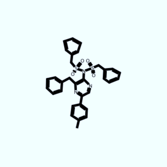 Cc1ccc(-c2cnc(N(S(=O)(=O)Cc3ccccc3)S(=O)(=O)Cc3ccccc3)c(Cc3ccccc3)n2)cc1